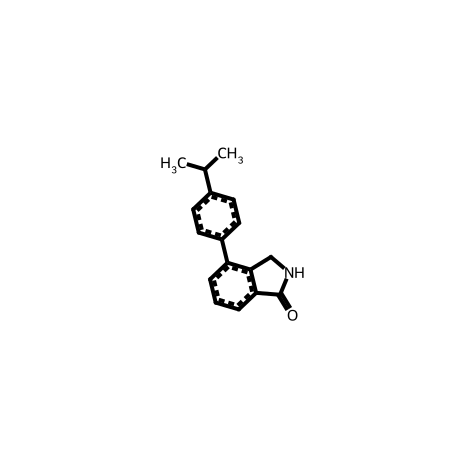 CC(C)c1ccc(-c2cccc3c2CNC3=O)cc1